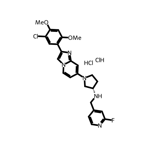 COc1cc(OC)c(-c2cn3ccc(N4CC[C@H](NCc5ccnc(F)c5)C4)cc3n2)cc1Cl.Cl.Cl